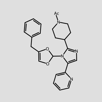 CC(=O)N1CCC(c2ncc(-c3ccccn3)n2C2OC=C(Cc3ccccc3)O2)CC1